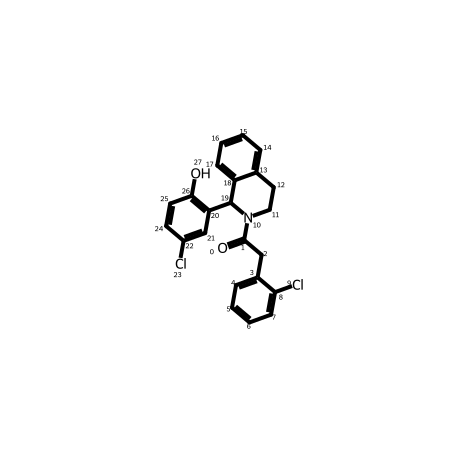 O=C(Cc1ccccc1Cl)N1CCc2ccccc2C1c1cc(Cl)ccc1O